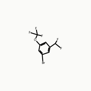 FC(F)c1cc(Br)cc(OC(F)(F)F)c1